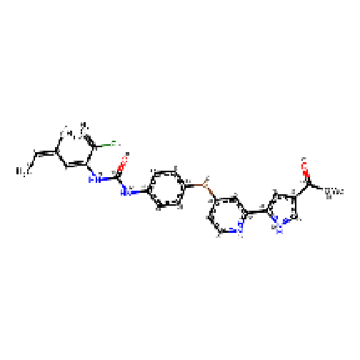 C=C(F)/C(=C\C(C)=C/C)NC(=O)Nc1ccc(Sc2ccnc(-c3cc(C(=O)OC)c[nH]3)c2)cc1